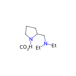 CCN(CC)CC1CCCN1C(=O)O